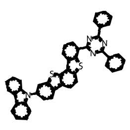 c1ccc(-c2nc(-c3ccccc3)nc(-c3cccc4c3sc3ccc5c6ccc(-n7c8ccccc8c8ccccc87)cc6sc5c34)n2)cc1